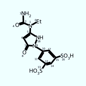 CCN(C(N)=O)c1cc(=O)n(-c2cc(S(=O)(=O)O)cc(S(=O)(=O)O)c2)[nH]1